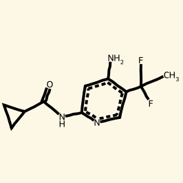 CC(F)(F)c1cnc(NC(=O)C2CC2)cc1N